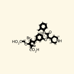 Cc1ccccc1NC(=O)C(Oc1cccc(-c2sc(C(=O)O)c(OCC(=O)O)c2Br)c1)C1CCNCC1